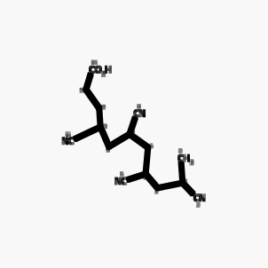 CC(C#N)CC(C#N)CC(C#N)CC(C#N)CCC(=O)O